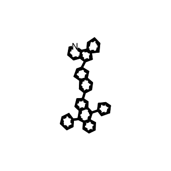 c1ccc(-c2c3ccccc3c(-c3ccccc3)c3cc(-c4ccc5cc(-c6cc7ccccc7c7ncccc67)ccc5c4)ccc23)cc1